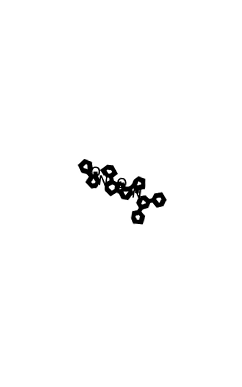 c1ccc(-c2cc(-c3ccccc3)cc(-n3c4ccccc4c4c5oc6c(ccc7c6c6ccccc6n7-c6cccc7c6oc6ccccc67)c5ccc43)c2)cc1